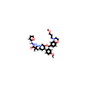 COCCCN1CCOc2ccc(CO[C@H]3CN[C@H](CC(C)(C)C(=O)NC[C@@H]4CCCO4)C[C@@H]3c3ccc(OC)cc3)cc21